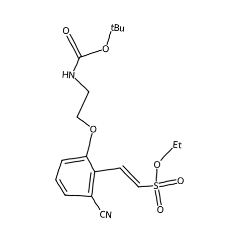 CCOS(=O)(=O)C=Cc1c(C#N)cccc1OCCNC(=O)OC(C)(C)C